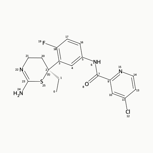 CC[C@@]1(c2cc(NC(=O)c3cc(Cl)ccn3)ccc2F)CCN=C(N)S1